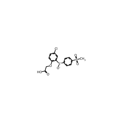 CS(=O)(=O)c1ccc([S+]([O-])c2cc(Cl)ccc2OCC(=O)O)cc1